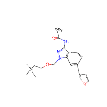 CCCC(=O)Nc1nn(COCC[Si](C)(C)C)c2cc(-c3ccoc3)ccc12